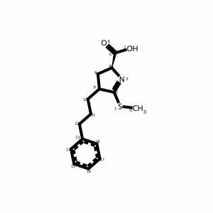 CSC1=N[C@H](C(=O)O)CC1CCCc1ccccc1